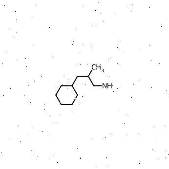 CC(C[NH])CC1CCCCC1